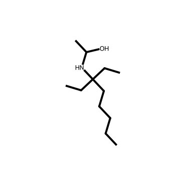 CCCCCC(CC)(CC)NC(C)O